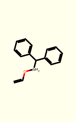 C=CO[SiH2]C(c1ccccc1)c1ccccc1